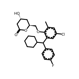 Cc1cc(Cl)cc(C(c2ccc(F)cc2)C2CCCCC2)c1OC[C@@H]1C[C@@H](O)CC(=O)O1